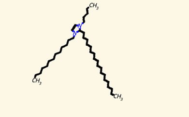 CCCCCCCCCCCCCCCCCCCC1N(CCCCC)C=CN1CCCCCCCCCCCCC